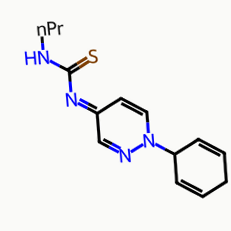 CCCNC(=S)N=c1ccn(C2C=CCC=C2)nc1